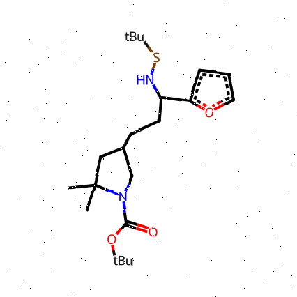 CC(C)(C)OC(=O)N1CC(CCC(NSC(C)(C)C)c2ccco2)CC1(C)C